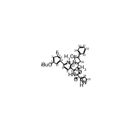 CC(C)COc1cc(F)cc(-c2ccc(C(=O)NS(=O)(=O)c3ccn[nH]3)c(N3C(C)CC(c4ccccc4)C3C)n2)c1